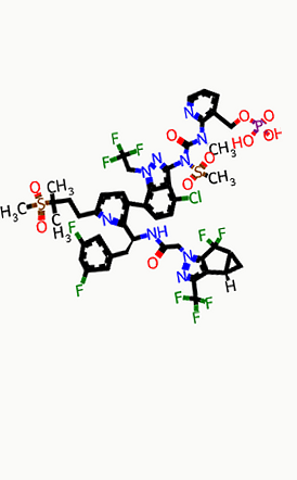 CN(C(=O)N(c1nn(CC(F)(F)F)c2c(-c3ccc(CCC(C)(C)S(C)(=O)=O)nc3[C@H](Cc3cc(F)cc(F)c3)NC(=O)Cn3nc(C(F)(F)F)c4c3C(F)(F)C3C[C@H]43)ccc(Cl)c12)S(C)(=O)=O)c1ncccc1COP(=O)(O)O